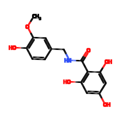 COc1cc(CNC(=O)c2c(O)cc(O)cc2O)ccc1O